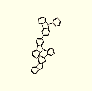 c1ccc(-n2c3ccccc3c3cc(-c4ccc5c6ccccc6n(-c6ccccc6-c6ccc7c(c6)Cc6ccccc6-7)c5c4)ccc32)cc1